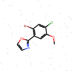 COc1cc(-c2ncco2)c(Br)cc1Cl